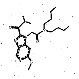 CCCCN(CCCC)C(=O)Cn1c(C(=O)C(C)C)nc2cnc(OC)cc21